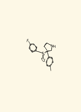 Cc1ccc([C@]2([S+]([O-])c3ccc(F)cc3)CCNC2)cc1